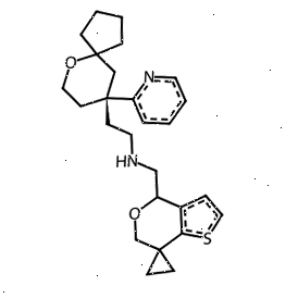 c1ccc([C@]2(CCNCC3OCC4(CC4)c4sccc43)CCOC3(CCCC3)C2)nc1